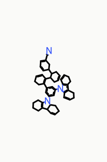 N#CC1=CC=CC(C2CC=CCC2C2=C(c3cc(N4C5=C(CCCC5)C5C=CCCC54)cc(-n4c5c(c6c4C=CCC6)CCC=C5)c3)CCC=C2)C1